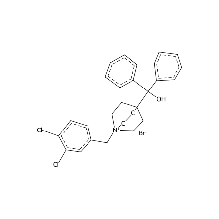 OC(c1ccccc1)(c1ccccc1)C12CC[N+](Cc3ccc(Cl)c(Cl)c3)(CC1)CC2.[Br-]